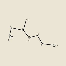 CC(C)CC(C)SCC[O]